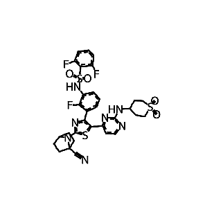 N#CC12CCC(CC1)N2c1nc(-c2cccc(NS(=O)(=O)c3c(F)cccc3F)c2F)c(-c2ccnc(NC3CCS(=O)(=O)CC3)n2)s1